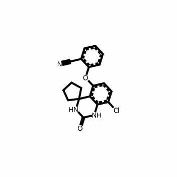 N#Cc1ccccc1Oc1ccc(Cl)c2c1C1(CCCC1)NC(=O)N2